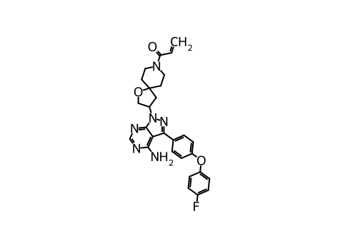 C=CC(=O)N1CCC2(CC1)CC(n1nc(-c3ccc(Oc4ccc(F)cc4)cc3)c3c(N)ncnc31)CO2